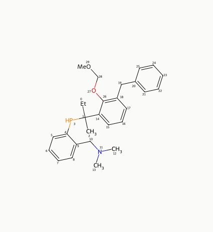 CCC(C)(Pc1ccccc1CN(C)C)c1cccc(Cc2ccccc2)c1OCOC